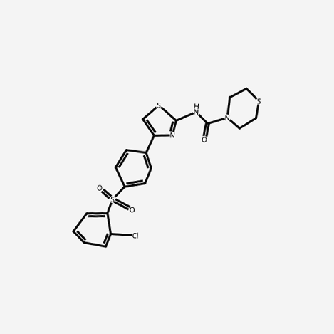 O=C(Nc1nc(-c2ccc(S(=O)(=O)c3ccccc3Cl)cc2)cs1)N1CCSCC1